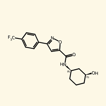 O=C(N[C@@H]1CCC[C@H](O)C1)c1cc(-c2ccc(C(F)(F)F)cc2)no1